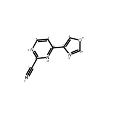 N#Cc1nccc(-c2cocn2)n1